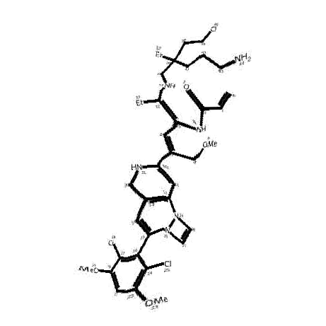 C=CC(=O)NC(/C=C(\COC)C1=Cc2c(cc(-c3c(Cl)c(OC)cc(OC)c3Cl)n3ccn23)CN1)=C(/CC)NCC(CC)(CCCl)CCCN